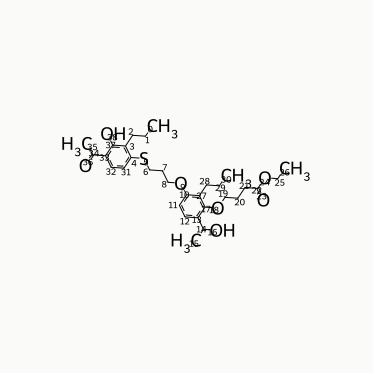 CCCc1c(SCCCOc2ccc(C(C)O)c(OCCCC(=O)OCC)c2CCC)ccc(C(C)=O)c1O